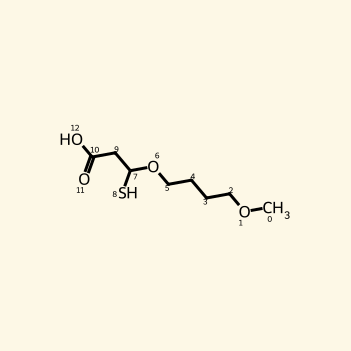 COCCCCOC(S)CC(=O)O